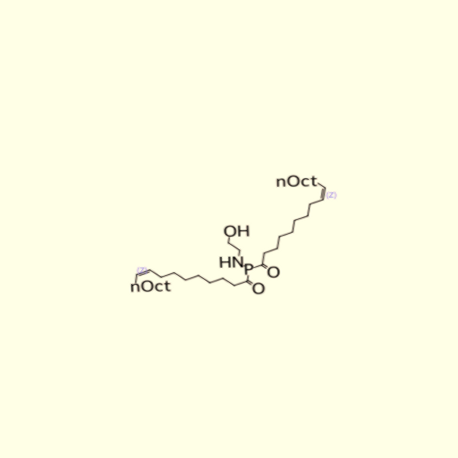 CCCCCCCC/C=C\CCCCCCCC(=O)P(NCCO)C(=O)CCCCCCC/C=C\CCCCCCCC